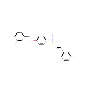 Cc1cccc(COc2ccc(NS(=O)(=O)/C=C/c3cccc(Cl)c3)cc2)c1